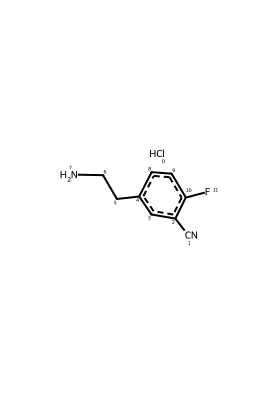 Cl.N#Cc1cc(CCN)ccc1F